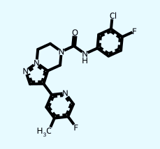 Cc1cc(-c2cnn3c2CN(C(=O)Nc2ccc(F)c(Cl)c2)CC3)ncc1F